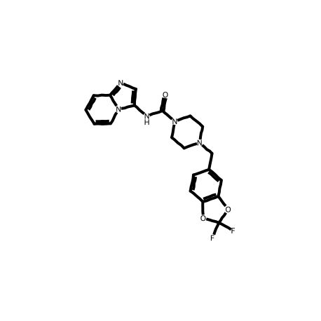 O=C(Nc1cnc2ccccn12)N1CCN(Cc2ccc3c(c2)OC(F)(F)O3)CC1